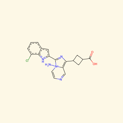 N[N+]12C=CN=CC1=C(C1CC(C(=O)O)C1)N=C2c1cc2cccc(Cl)c2[nH]1